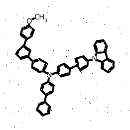 COc1ccc(-c2cccc(-c3ccc(N(c4ccc(-c5ccccc5)cc4)c4ccc(-c5ccc(-n6c7ccccc7c7ccccc76)cc5)cc4)cc3)c2)cc1